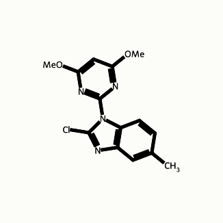 COc1cc(OC)nc(-n2c(Cl)nc3cc(C)ccc32)n1